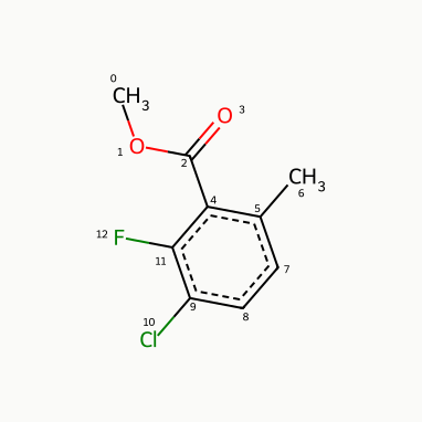 COC(=O)c1c(C)ccc(Cl)c1F